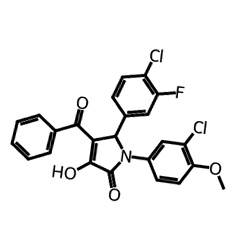 COc1ccc(N2C(=O)C(O)=C(C(=O)c3ccccc3)C2c2ccc(Cl)c(F)c2)cc1Cl